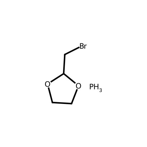 BrCC1OCCO1.P